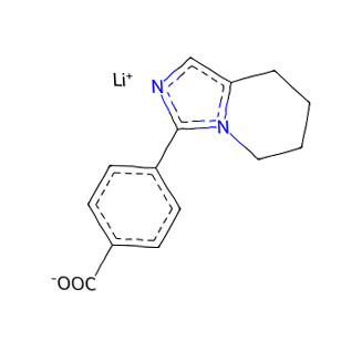 O=C([O-])c1ccc(-c2ncc3n2CCCC3)cc1.[Li+]